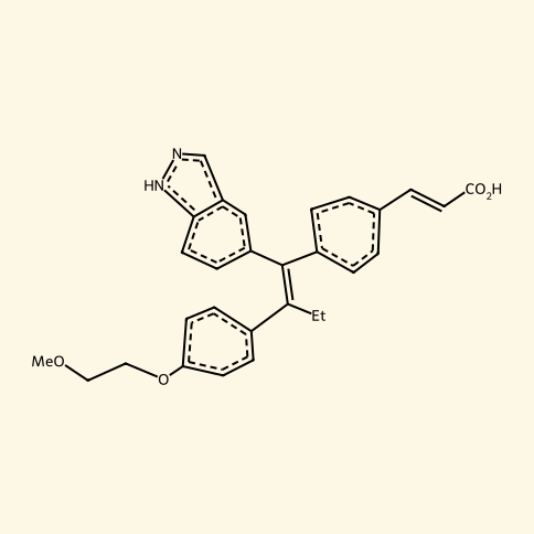 CCC(=C(c1ccc(C=CC(=O)O)cc1)c1ccc2[nH]ncc2c1)c1ccc(OCCOC)cc1